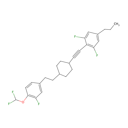 CCCc1cc(F)c(C#CC2CCC(CCc3ccc(OC(F)F)c(F)c3)CC2)c(F)c1